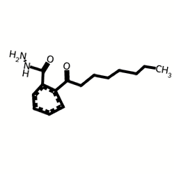 CCCCCCCC(=O)c1ccccc1C(=O)NN